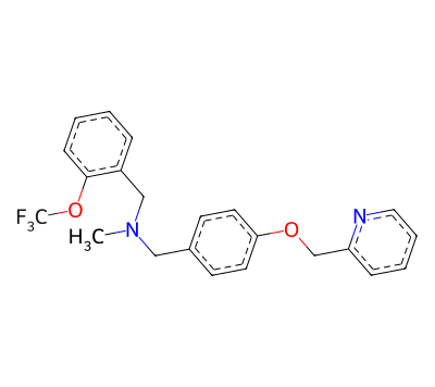 CN(Cc1ccc(OCc2ccccn2)cc1)Cc1ccccc1OC(F)(F)F